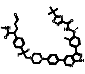 CNC(=O)C(CCC=O)c1ccc(C(F)(F)CN2CCN(c3ccc(-c4cnc5[nH]nc(-c6ccc([C@@H](C)NC(=O)c7noc(C(C)(C)C)n7)c(C)c6)c5c4)cc3)CC2)cc1